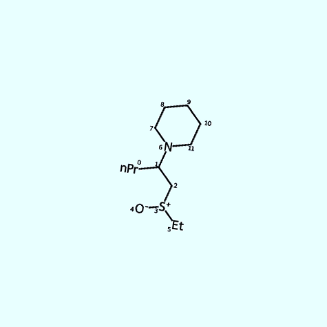 CCCC(C[S+]([O-])CC)N1CCCCC1